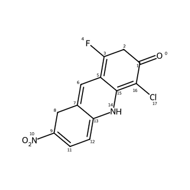 O=C1CC(F)=C2C=C3CC([N+](=O)[O-])=CC=C3NC2=C1Cl